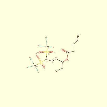 C=CCCC(=O)OC(CC)CCC(S(=O)(=O)C(F)(F)F)S(=O)(=O)C(F)(F)F